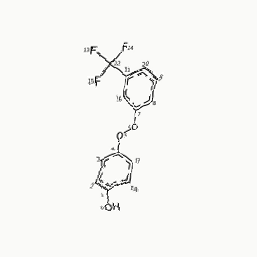 Oc1ccc(OOc2cccc(C(F)(F)F)c2)cc1